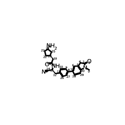 CN1C(=O)Cc2cc(-c3ccc(C[C@@H](C#N)NC(=O)C[C@H]4CC[C@@H](N)C4)cc3)ccc21